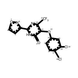 O=c1[nH]c(-c2ccon2)nc(C(F)(F)F)c1Oc1ccc(Cl)c(Cl)c1